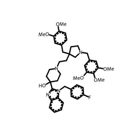 COc1ccc(CC2(CCN3CCC(O)(c4nc5ccccc5n4Cc4ccc(F)cc4)CC3)CCN(Cc3cc(OC)c(OC)c(OC)c3)C2)cc1OC